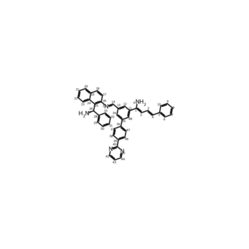 N/C(=C\C=C\c1ccccc1)c1cc(/C=N/c2ccc3ccccc3c2C(N)c2ccccc2)cc(-c2ccc(-c3ncccn3)cc2)c1